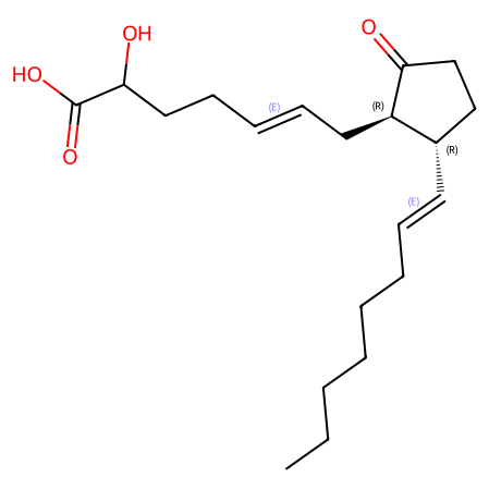 CCCCCC/C=C/[C@H]1CCC(=O)[C@@H]1C/C=C/CCC(O)C(=O)O